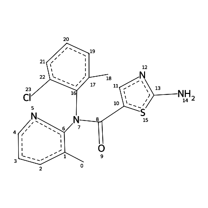 Cc1cccnc1N(C(=O)c1cnc(N)s1)c1c(C)cccc1Cl